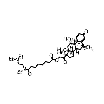 CCN(CC)CCN(CC)C(=O)CCCCCCC(=O)OCC(=O)[C@@]1(O)CC[C@H]2[C@@H]3C[C@H](C)C4=CC(=O)C=C[C@]4(C)[C@H]3[C@@H](O)C[C@@]21C